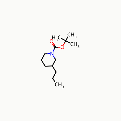 CCCC1CCCN(C(=O)OC(C)(C)C)C1